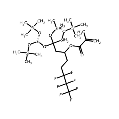 C=C(C)C(=O)OC(CCC(F)(F)C(F)(F)C(F)(F)F)CC(O[SiH](C)C)(O[SiH](O[Si](C)(C)C)O[Si](C)(C)C)[SiH2]O[Si](C)(C)C